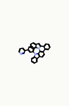 c1cncc(-c2cccc(-n3c4ccccc4c4ccc5c6ccccc6c6cc7ccccc7n6c5c43)c2)c1